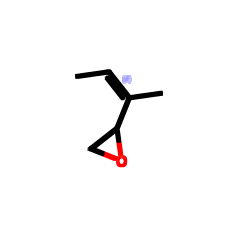 C/C=C(/C)C1CO1